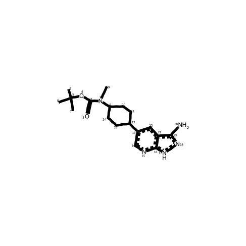 CN(C(=O)OC(C)(C)C)C1CCC(c2cnc3[nH]nc(N)c3c2)CC1